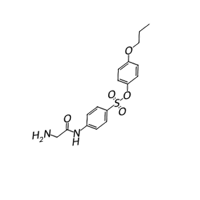 CCCOc1ccc(OS(=O)(=O)c2ccc(NC(=O)CN)cc2)cc1